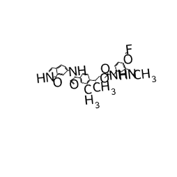 CNCc1cc(NC(=O)OC[C@H](C)c2ccc(C(C=O)Nc3ccc4cc[nH]c(=O)c4c3)cc2C)ccc1OCF